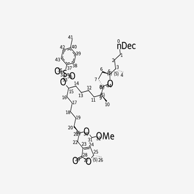 CCCCCCCCCCCC[C@H](C)[C@@H]1CC[C@@H]([C@@H](C)CCCCC(CCCCC[C@H](CC2=C[C@H](C)OC2=O)OCOC)OS(=O)(=O)c2ccc(C)cc2)O1